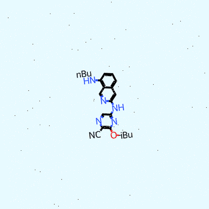 CCCCNc1cccc2cc(Nc3cnc(C#N)c(O[C@H](C)CC)n3)ncc12